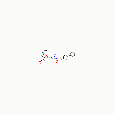 C=C/C(C)=C/C1(C)SC(=O)C(C)=C1OCCCNC(=O)CCc1ccc(-c2ccccc2)cc1